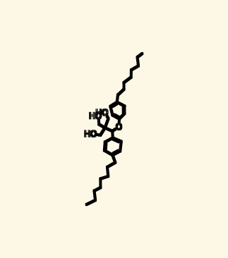 CCCCCCCCc1ccc(OC(c2ccc(CCCCCCCC)cc2)C(CO)(CO)CO)cc1